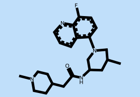 CC1CC(NC(=O)CC2CCN(C)CC2)CN(c2ccc(F)c3ncccc23)C1